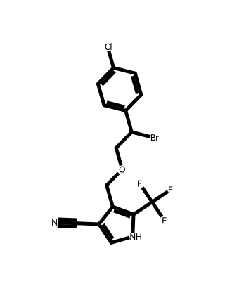 N#Cc1c[nH]c(C(F)(F)F)c1COCC(Br)c1ccc(Cl)cc1